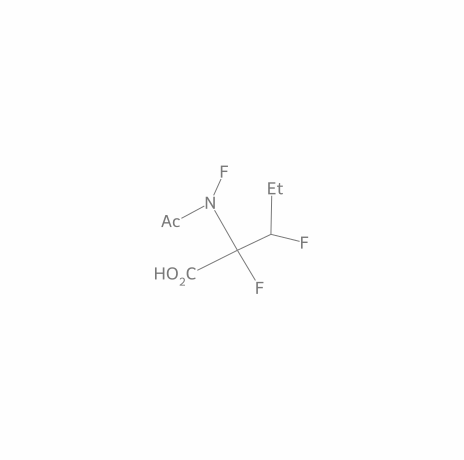 CCC(F)C(F)(C(=O)O)N(F)C(C)=O